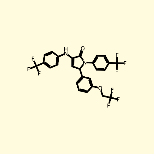 O=C1C(Nc2ccc(C(F)(F)F)cc2)=CC(c2cccc(OCC(F)(F)F)c2)N1c1ccc(C(F)(F)F)cc1